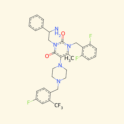 Cc1c(N2CCN(Cc3ccc(F)cc3C(F)(F)F)CC2)c(=O)n(CC(N)c2ccccc2)c(=O)n1Cc1c(F)cccc1F